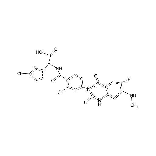 CNc1cc2[nH]c(=O)n(-c3ccc(C(=O)NC(C(=O)O)c4ccc(Cl)s4)c(Cl)c3)c(=O)c2cc1F